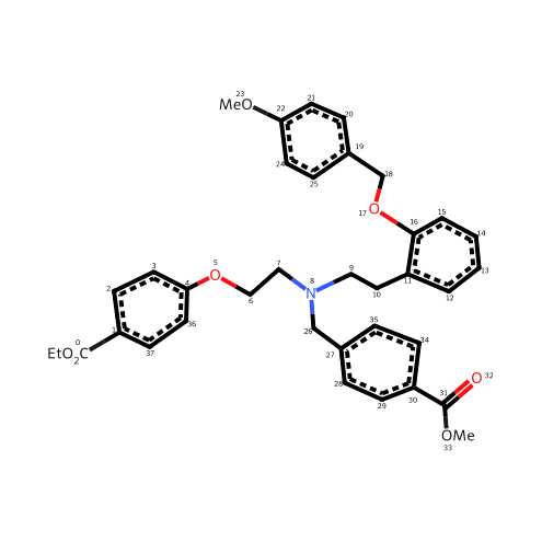 CCOC(=O)c1ccc(OCCN(CCc2ccccc2OCc2ccc(OC)cc2)Cc2ccc(C(=O)OC)cc2)cc1